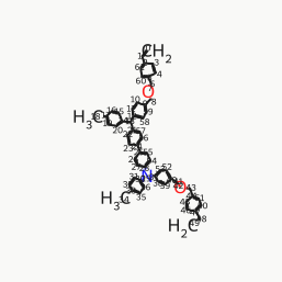 C=Cc1ccc(COCc2ccc(C(c3ccc(C)cc3)c3ccc(-c4ccc(N(c5ccc(C)cc5)c5ccc(COCc6ccc(C=C)cc6)cc5)cc4)cc3)cc2)cc1